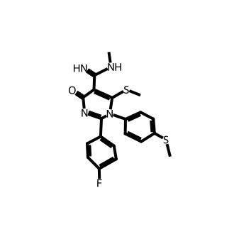 CNC(=N)c1c(SC)n(-c2ccc(SC)cc2)c(-c2ccc(F)cc2)nc1=O